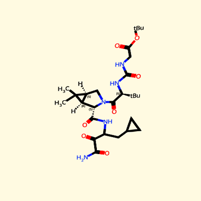 CC(C)(C)OC(=O)CNC(=O)N[C@H](C(=O)N1C[C@H]2[C@@H]([C@H]1C(=O)NC(CC1CC1)C(=O)C(N)=O)C2(C)C)C(C)(C)C